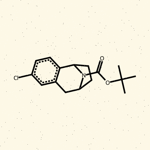 CC(C)(C)OC(=O)N1C2CCC1c1ccc(Cl)cc1C2